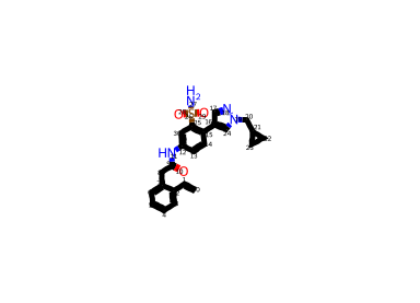 C=Cc1ccccc1CC(=O)Nc1ccc(-c2cnn(CC3CC3)c2)c(S(N)(=O)=O)c1